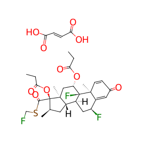 CCC(=O)O[C@H]1C[C@@]2(C)[C@@H](C[C@@H](C)[C@]2(OC(=O)CC)C(=O)SCF)[C@@H]2C[C@H](F)C3=CC(=O)C=C[C@]3(C)[C@@]12F.O=C(O)/C=C/C(=O)O